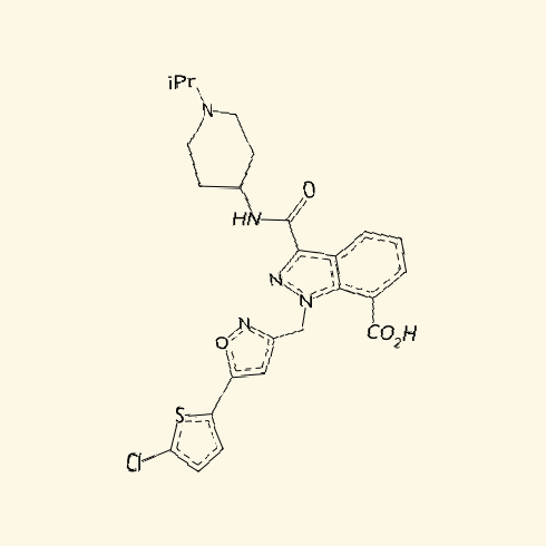 CC(C)N1CCC(NC(=O)c2nn(Cc3cc(-c4ccc(Cl)s4)on3)c3c(C(=O)O)cccc23)CC1